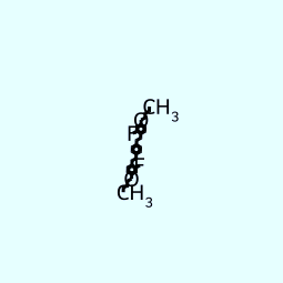 CCCCOc1ccc(CCc2ccc(CCc3ccc(OCCCC)cc3F)cc2)c(F)c1